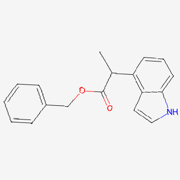 CC(C(=O)OCc1ccccc1)c1cccc2[nH]ccc12